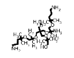 COCC(COC(C)(C)CO)(COC(C)(C)COC(C)(C)CCCN)COC(C)(N)COC(C)(C)CCCN